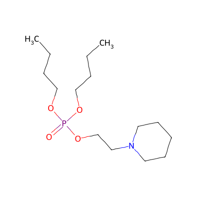 CCCCOP(=O)(OCCCC)OCCN1CCCCC1